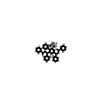 CC(CC(c1ccccc1)c1cc(S(=O)(=O)O)c(-c2ccccc2)c(C(CC(C)c2ccccc2)c2ccccc2)c1O)c1ccccc1